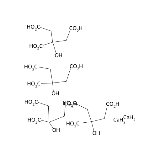 O=C(O)CC(O)(CC(=O)O)C(=O)O.O=C(O)CC(O)(CC(=O)O)C(=O)O.O=C(O)CC(O)(CC(=O)O)C(=O)O.O=C(O)CC(O)(CC(=O)O)C(=O)O.[CaH2].[CaH2]